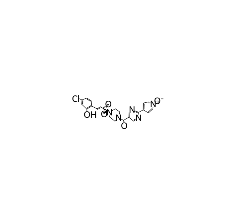 O=C(c1cnc(-c2cc[n+]([O-])cc2)nc1)N1CCN(S(=O)(=O)/C=C/c2ccc(Cl)cc2O)CC1